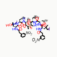 C=C(C(=O)[C@H](CC(C)C)NC(=O)[C@H](CC(C)C)NC(=O)[C@H](CC(C)(O)CI)NC(=O)Cc1cccc([N+](=O)[O-])c1)S(=O)(=O)C(=C)C(=O)[C@H](CC(C)C)NC(=O)[C@H](CC(C)C)NC(=O)[C@H](CC(C)(O)CI)NC(=O)Cc1cccc([N+](=O)[O-])c1